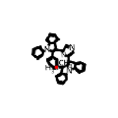 CC1(C)c2ccccc2-n2c1c(-c1cncc(-c3c(-c4ccccc4)n(-c4ccccc4)c4ccccc34)n1)c1ccccc12